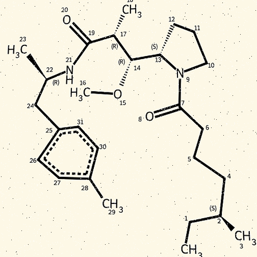 CC[C@H](C)CCCC(=O)N1CCC[C@H]1[C@H](OC)[C@@H](C)C(=O)N[C@H](C)Cc1ccc(C)cc1